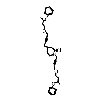 CC(CCOCC#CCC1CCN(CC#CCOCCC(C)Oc2ccccc2)CC1)Oc1ccccc1.Cl